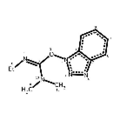 CC/N=C(/On1nnc2ccccc21)N(C)C